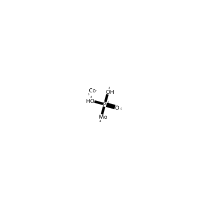 O=[P](O)(O)[Mo].[Co]